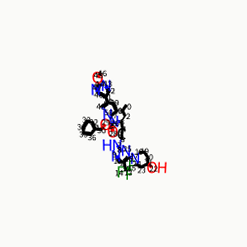 CCC[C@@H](CCCNc1ncc(C(F)(F)F)c(N2CCCC(O)CC2)n1)N(C(=O)OCc1ccccc1)c1ccc(-c2cnc(OC)nc2)cn1